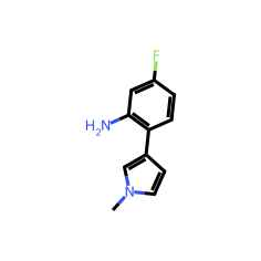 Cn1ccc(-c2ccc(F)cc2N)c1